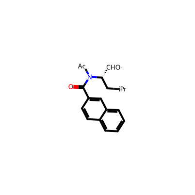 CC(=O)N(C(=O)c1ccc2ccccc2c1)[C@H]([C]=O)CC(C)C